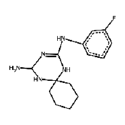 NC1N=C(Nc2cccc(F)c2)NC2(CCCCC2)N1